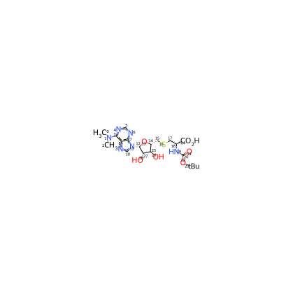 CN(C)c1ncnc2c1ncn2[C@@H]1O[C@H](CSC[C@H](NC(=O)OC(C)(C)C)C(=O)O)C(O)[C@@H]1O